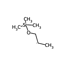 C[CH]CO[Si](C)(C)C